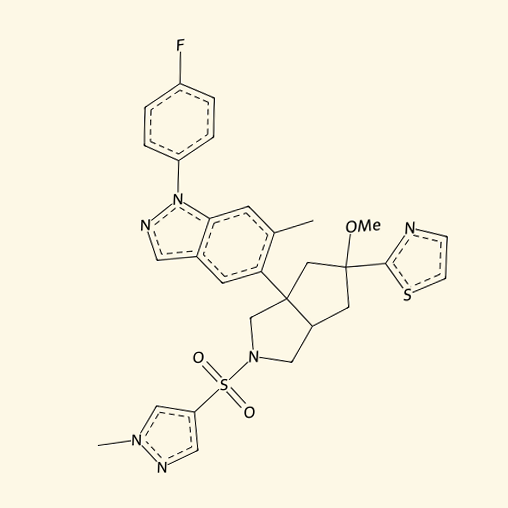 COC1(c2nccs2)CC2CN(S(=O)(=O)c3cnn(C)c3)CC2(c2cc3cnn(-c4ccc(F)cc4)c3cc2C)C1